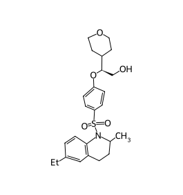 CCc1ccc2c(c1)CCC(C)N2S(=O)(=O)c1ccc(O[C@H](CO)C2CCOCC2)cc1